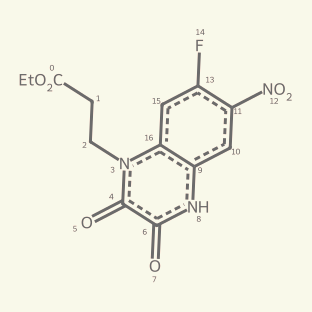 CCOC(=O)CCn1c(=O)c(=O)[nH]c2cc([N+](=O)[O-])c(F)cc21